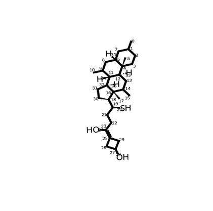 CC1CC[C@@]2(C)[C@@H](C1)CC(C)[C@@H]1[C@@H]2CC(C)[C@]2(C)[C@@H]([C@@H](S)CCC(O)=C3CC(O)C3)CC[C@@H]12